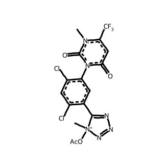 CC(=O)O[N+]1(C)N=NN=C1c1cc(-n2c(=O)cc(C(F)(F)F)n(C)c2=O)c(Cl)cc1Cl